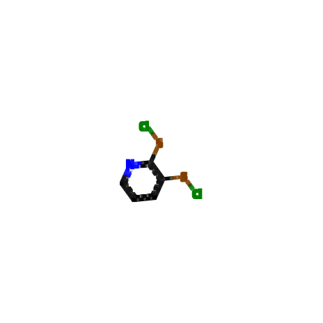 ClSc1cccnc1SCl